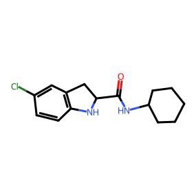 O=C(NC1CCCCC1)C1Cc2cc(Cl)ccc2N1